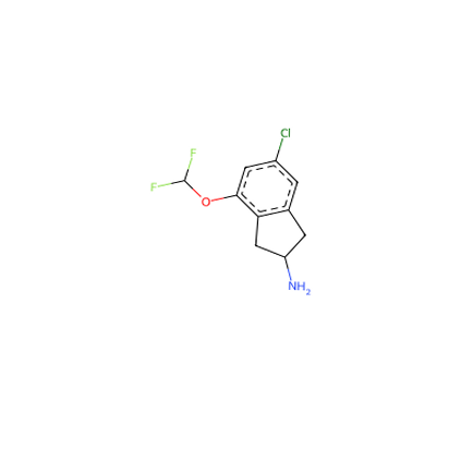 NC1Cc2cc(Cl)cc(OC(F)F)c2C1